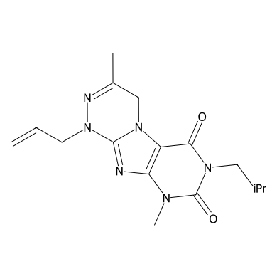 C=CCN1N=C(C)Cn2c1nc1c2c(=O)n(CC(C)C)c(=O)n1C